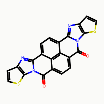 O=c1c2ccc3c(=O)n4c(nc5ccsc54)c4ccc(c2c34)c2nc3ccsc3n12